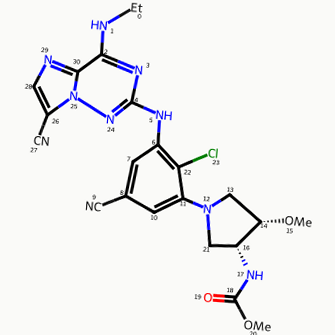 CCNc1nc(Nc2cc(C#N)cc(N3C[C@H](OC)[C@H](NC(=O)OC)C3)c2Cl)nn2c(C#N)cnc12